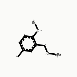 CCCCOCc1cc(C)ccc1OCC